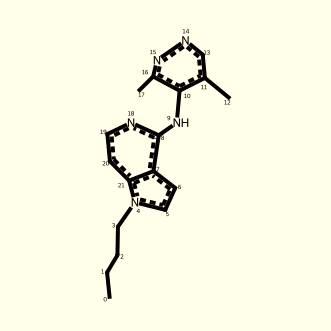 CCCCn1ccc2c(Nc3c(C)cnnc3C)nccc21